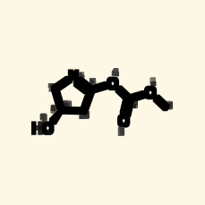 COC(=O)OC1=NC[C@H](O)C1